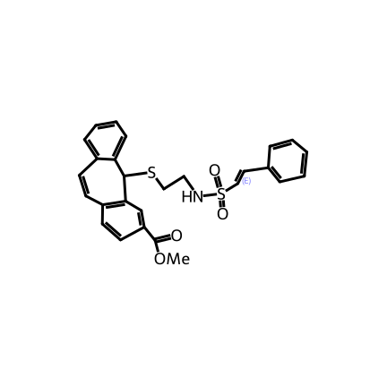 COC(=O)c1ccc2c(c1)C(SCCNS(=O)(=O)/C=C/c1ccccc1)c1ccccc1C=C2